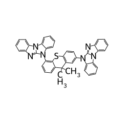 CC1(C)c2cc(-n3c4ccccc4n4c5ccccc5nc34)ccc2Sc2c(-n3c4ccccc4n4c5ccccc5nc34)cccc21